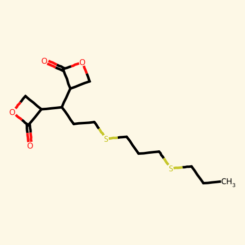 CCCSCCCSCCC(C1COC1=O)C1COC1=O